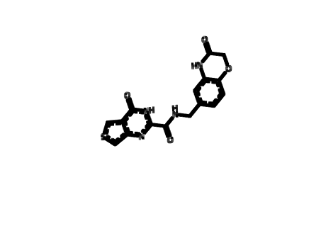 O=C1COc2ccc(CNC(=O)c3nc4cscc4c(=O)[nH]3)cc2N1